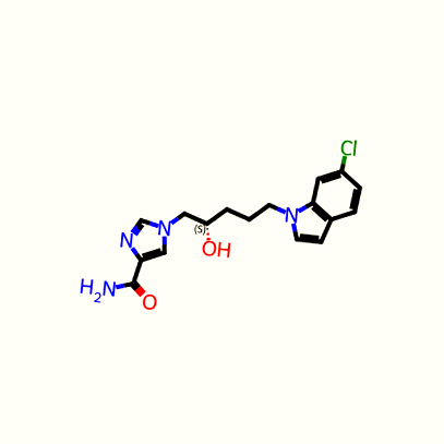 NC(=O)c1cn(C[C@@H](O)CCCn2ccc3ccc(Cl)cc32)cn1